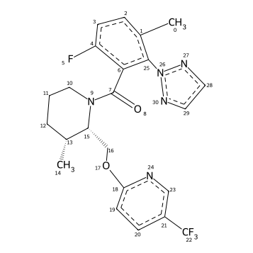 Cc1ccc(F)c(C(=O)N2CCC[C@@H](C)[C@H]2COc2ccc(C(F)(F)F)cn2)c1-n1nccn1